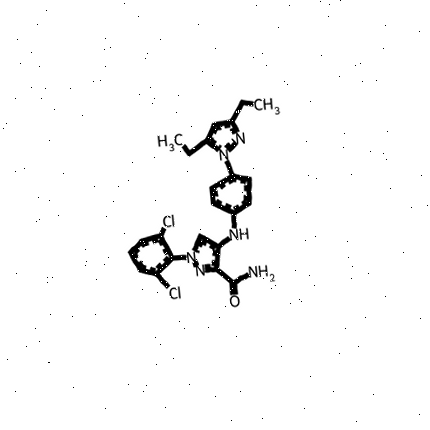 CCc1cc(CC)n(-c2ccc(Nc3cn(-c4c(Cl)cccc4Cl)nc3C(N)=O)cc2)n1